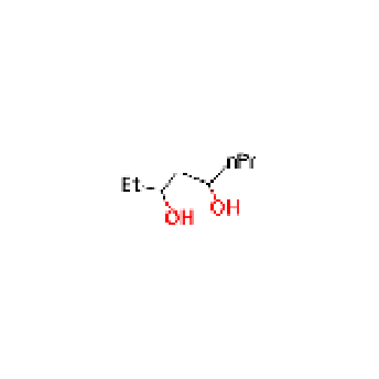 C[CH]CC(O)CC(O)CC